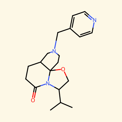 CC(C)C1COC23CCN(Cc4ccncc4)CC2CCC(=O)N13